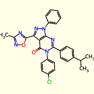 Cc1noc(-c2nn(-c3ccccc3)c3nc(-c4ccc(C(C)C)cc4)n(-c4ccc(Cl)cc4)c(=O)c23)n1